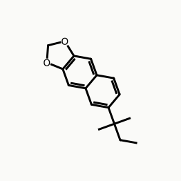 CCC(C)(C)c1ccc2cc3c(cc2c1)OCO3